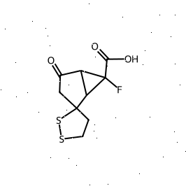 O=C1CC2(CCSS2)C2C1C2(F)C(=O)O